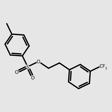 Cc1ccc(S(=O)(=O)OCCc2cccc(C(F)(F)F)c2)cc1